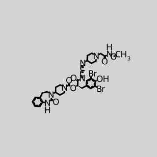 CONC(=O)CN1CCC(N=C=C=NC(=O)[C@@H](Cc2cc(Br)c(O)c(Br)c2)OC(=O)N2CCC(N3CCc4ccccc4NC3=O)CC2)CC1